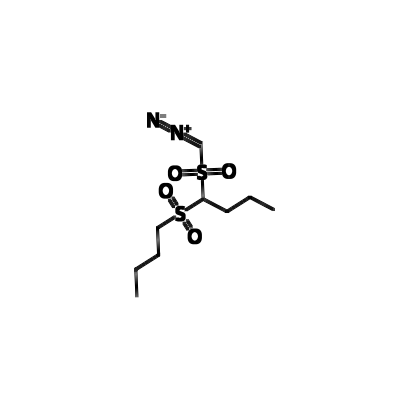 CCCCS(=O)(=O)C(CCC)S(=O)(=O)C=[N+]=[N-]